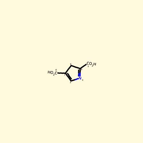 O=C(O)C1=CN=C(C(=O)O)C1